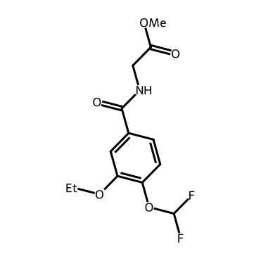 CCOc1cc(C(=O)NCC(=O)OC)ccc1OC(F)F